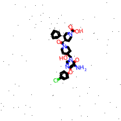 Nc1c(Oc2ccc(Cl)cc2)ncn(CC2(O)CCN(C(=O)[C@@H]3CCN(C(=O)O)C[C@H]3c3ccccc3)CC2)c1=O